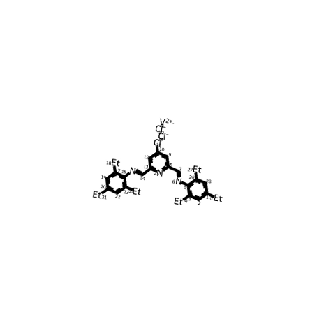 CCc1cc(CC)c(N=Cc2cc(Cl)cc(C=Nc3c(CC)cc(CC)cc3CC)n2)c(CC)c1.[Cl-].[Cl-].[V+2]